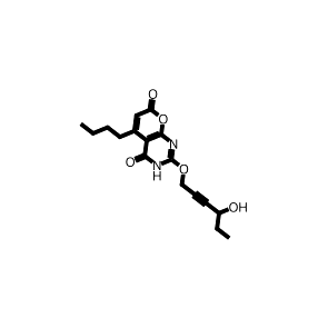 CCCCc1cc(=O)oc2nc(OCC#CC(O)CC)[nH]c(=O)c12